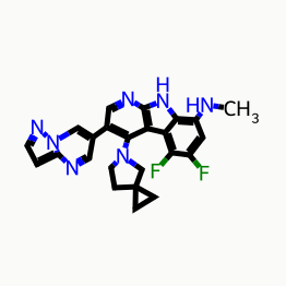 CNc1cc(F)c(F)c2c1[nH]c1ncc(-c3cnc4ccnn4c3)c(N3CCC4(CC4)C3)c12